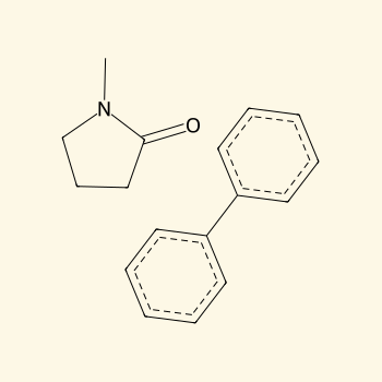 CN1CCCC1=O.c1ccc(-c2ccccc2)cc1